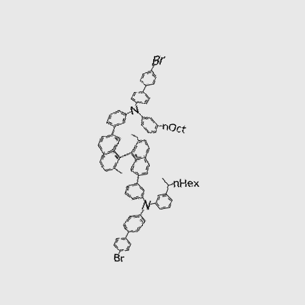 CCCCCCCCc1cccc(N(c2ccc(-c3ccc(Br)cc3)cc2)c2cccc(-c3ccc4ccc(C)c(-c5c(C)ccc6ccc(-c7cccc(N(c8ccc(-c9ccc(Br)cc9)cc8)c8cccc(C(C)CCCCCC)c8)c7)cc56)c4c3)c2)c1